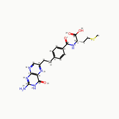 CSCC[C@H](NC(=O)c1ccc([Se]Cc2cnc3nc(N)[nH]c(=O)c3n2)cc1)C(=O)O